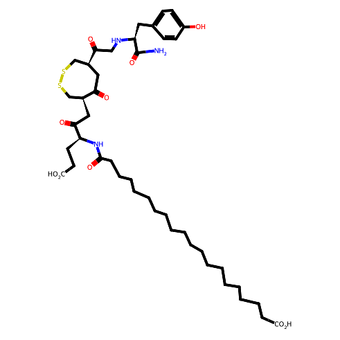 NC(=O)[C@H](Cc1ccc(O)cc1)NCC(=O)[C@@H]1CSSC[C@H](CC(=O)[C@H](CCC(=O)O)NC(=O)CCCCCCCCCCCCCCCCCCC(=O)O)C(=O)C1